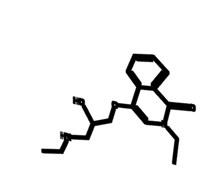 CCNCC(O)COc1cn(CC)c(=O)c2ccccc12